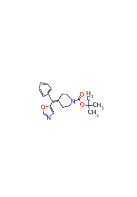 CC(C)(C)OC(=O)N1CCC(=C(c2ccccc2)c2cnco2)CC1